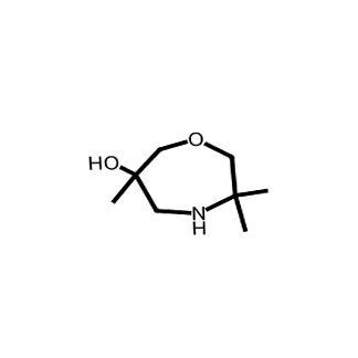 CC1(O)CNC(C)(C)COC1